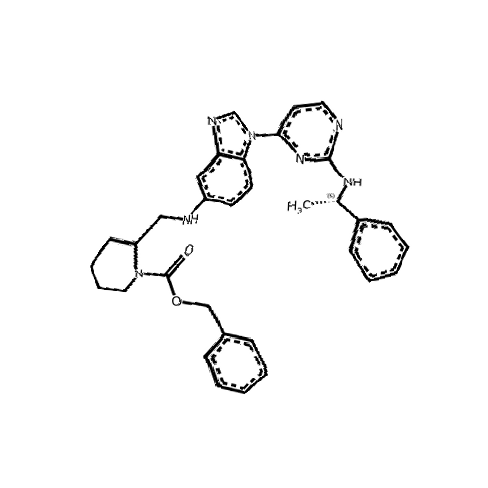 C[C@H](Nc1nccc(-n2cnc3cc(NCC4CCCCN4C(=O)OCc4ccccc4)ccc32)n1)c1ccccc1